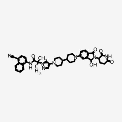 CC(C)(C(=O)Nc1ccc(C#N)c2ccccc12)n1cc(N2CCC(C3CCN(c4ccc5c(c4)C(O)N(C4CCC(=O)NC4=O)C5=O)CC3)CC2)cn1